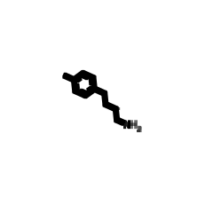 Cc1ccc(CC[CH]CN)cc1